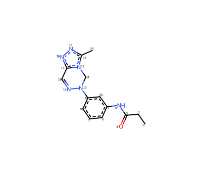 CCC(=O)Nc1cccc(N2Cn3c(C)nnc3C=N2)c1